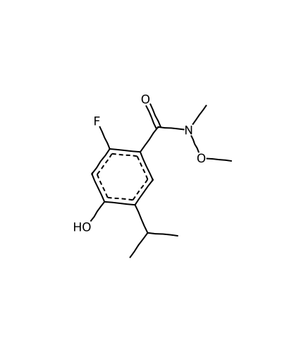 CON(C)C(=O)c1cc(C(C)C)c(O)cc1F